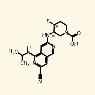 CC(C)Nc1nc(C#N)cc2cnc(N[C@@H]3CN(C(=O)O)CC[C@@H]3F)cc12